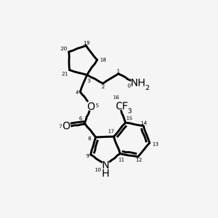 NCCC1(COC(=O)c2c[nH]c3cccc(C(F)(F)F)c23)CCCC1